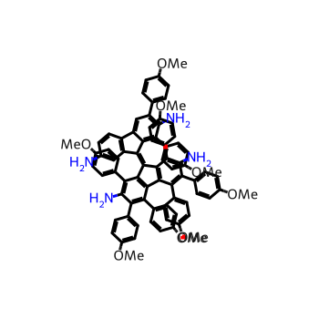 COc1ccc(-c2cc3c(c(-c4ccc(OC)cc4)c2N)C(=C2c4c(-c5ccc(OC)cc5)c(N)c(-c5ccc(OC)cc5)c(-c5ccc(OC)cc5)c4-c4c2c(-c2ccc(OC)cc2)c(N)c(-c2ccc(OC)cc2)c4-c2ccc(OC)cc2)c2cc(N)ccc2-3)cc1